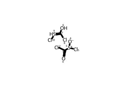 O=C(Cl)[S+]([O-])Cl.OC(Cl)=[SH]Cl